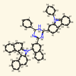 c1ccc(C2N=C(c3cc(-n4c5ccc6ccccc6c5c5c6ccccc6ccc54)c4ccccc4c3)N=C(c3ccc4c5ccccc5n(-c5ccccc5)c4c3)N2)cc1